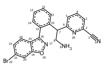 N#Cc1cccc(C(CN)c2ccccc2-c2noc3cc(Br)ccc23)n1